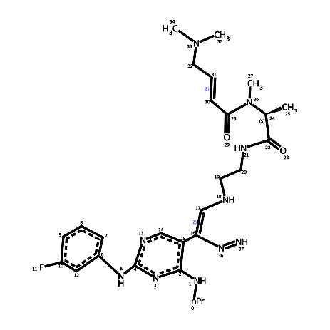 CCCNc1nc(Nc2cccc(F)c2)ncc1/C(=C/NCCNC(=O)[C@H](C)N(C)C(=O)/C=C/CN(C)C)N=N